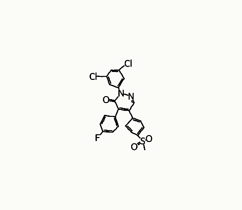 CS(=O)(=O)c1ccc(-c2cnn(-c3cc(Cl)cc(Cl)c3)c(=O)c2-c2ccc(F)cc2)cc1